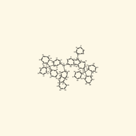 c1ccc(-n2c3ccc(N(c4ccc5c(c4)C(c4ccccc4)(c4ccccc4)c4ccccc4-5)c4ccc5c(c4)oc4ccccc45)cc3c3cc(C4(c5ccccc5)c5ccccc5-c5ccccc54)ccc32)cc1